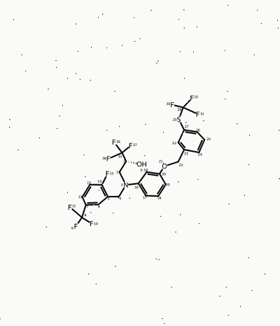 O[C@H](CN(Cc1cc(C(F)(F)F)ccc1F)c1cccc(OCc2cccc(SC(F)(F)F)c2)c1)C(F)(F)F